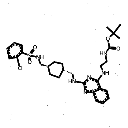 CC(C)(C)OC(=O)NCCNc1nc(NC[C@H]2CC[C@H](CNS(=O)(=O)c3ccccc3Cl)CC2)nc2ccccc12